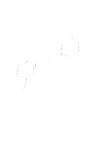 Ic1cccc(COC2CCCNC2)c1